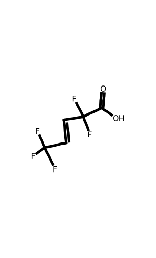 O=C(O)C(F)(F)C=CC(F)(F)F